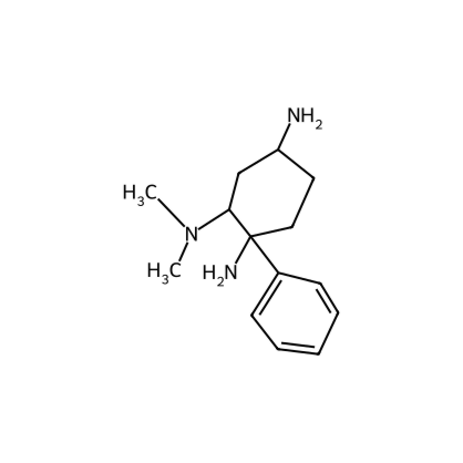 CN(C)C1CC(N)CCC1(N)c1ccccc1